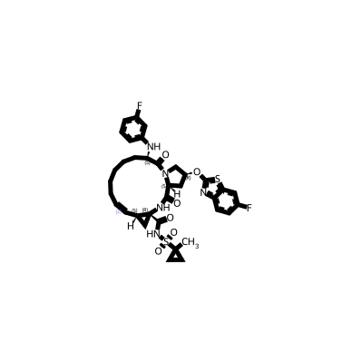 CC1(S(=O)(=O)NC(=O)[C@@]23C[C@H]2/C=C\CCCCC[C@H](Nc2cccc(F)c2)C(=O)N2C[C@H](Oc4nc5ccc(F)cc5s4)C[C@H]2C(=O)N3)CC1